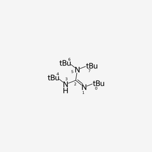 CC(C)(C)N=C(NC(C)(C)C)N(C(C)(C)C)C(C)(C)C